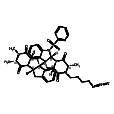 C[C@H]1C(=O)N2[C@H]3Cc4ccccc4[C@@]3([C@]34C[C@H]5C(=O)N(CCCCN=[N+]=[N-])[C@@H](C)C(=O)N5[C@H]3N(S(=O)(=O)c3ccccc3)c3ccccc34)C[C@H]2C(=O)N1C